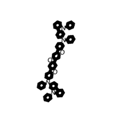 c1ccc(N(c2ccc3c(c2)oc2cc4c(cc23)oc2cc3c(cc24)oc2cc(N(c4ccccc4)c4ccc5c6ccccc6n(-c6ccccc6)c5c4)ccc23)c2ccc3c4ccccc4n(-c4ccccc4)c3c2)cc1